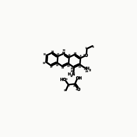 CC(O)C(=O)O.CCOc1cc2nc3ccccc3cc2c(N)c1N